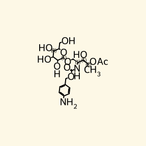 CC(=O)O[C@H](C)[C@@H](O)[C@H](CO[C@H]1OC(CO)[C@H](O)C(O)C1O)NC(=O)OCc1ccc(N)cc1